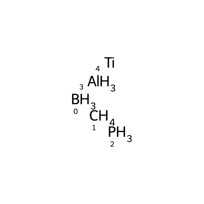 B.C.P.[AlH3].[Ti]